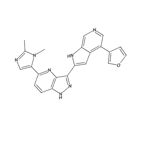 Cc1ncc(-c2ccc3[nH]nc(-c4cc5c(-c6ccoc6)cncc5[nH]4)c3n2)n1C